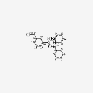 CC(C)(C)C(O[SiH](c1ccccc1)c1ccccc1)c1cccc(CCl)c1